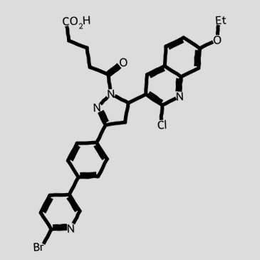 CCOc1ccc2cc(C3CC(c4ccc(-c5ccc(Br)nc5)cc4)=NN3C(=O)CCCC(=O)O)c(Cl)nc2c1